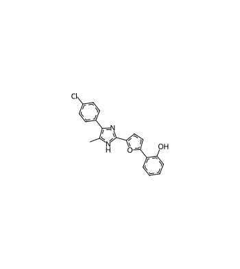 Cc1[nH]c(-c2ccc(-c3ccccc3O)o2)nc1-c1ccc(Cl)cc1